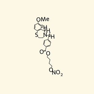 [2H]C1([2H])c2cc(OC)ccc2SCCN1C([2H])(C)c1ccc(C(=O)OCCCCO[N+](=O)[O-])cc1